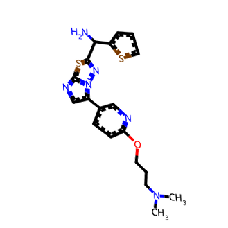 CN(C)CCCOc1ccc(-c2cnc3sc(C(N)c4cccs4)nn23)cn1